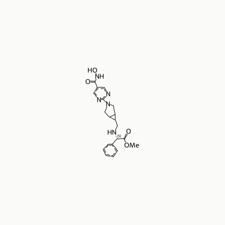 COC(=O)[C@@H](NCC1C2CN(c3ncc(C(=O)NO)cn3)CC12)c1ccccc1